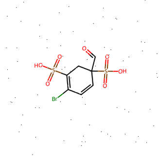 O=CC1(S(=O)(=O)O)C=CC(Br)=C(S(=O)(=O)O)C1